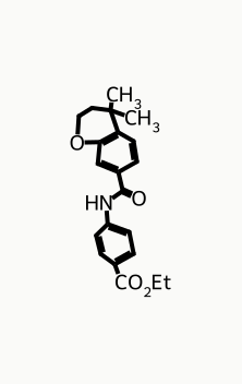 CCOC(=O)c1ccc(NC(=O)c2ccc3c(c2)OCCC3(C)C)cc1